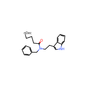 CCCCCCCCCCCCCC(=O)N(CCc1c[nH]c2ccccc12)Cc1ccccc1